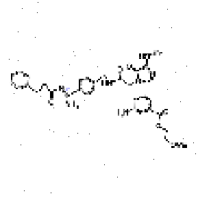 COCCOC(=O)c1cc(N)cc(-c2cnc(NC(C)C)c(=O)n2CC(=O)NCc2ccc(/C(N)=N/C(=O)OCc3ccccc3)cc2)c1